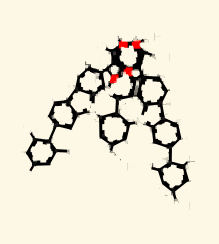 Cc1cc(C)c(-c2ccc3c4ccc(-c5c(C)cc(C)cc5C)cc4n(-c4cc(C#N)cc(-n5c6cc(-c7c(C)cc(C)cc7C)ccc6c6ccc(-c7c(C)cc(C)cc7C)cc65)c4-c4cc(C)nc(C)n4)c3c2)c(C)c1